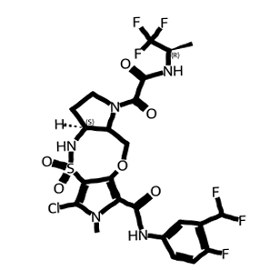 C[C@@H](NC(=O)C(=O)N1CC[C@@H]2NS(=O)(=O)c3c(c(C(=O)Nc4ccc(F)c(C(F)F)c4)n(C)c3Cl)OCC21)C(F)(F)F